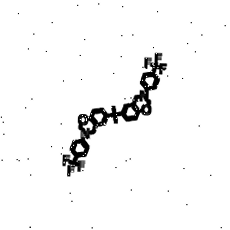 CC(C)(c1ccc2c(c1)CN(c1ccc(C(F)(F)F)cc1)CO2)c1ccc2c(c1)CN(c1ccc(C(F)(F)F)cc1)CO2